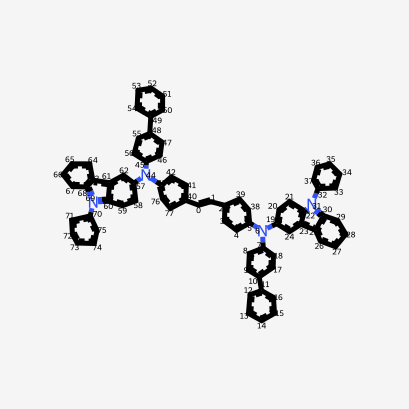 C(=C\c1ccc(N(c2ccc(-c3ccccc3)cc2)c2ccc3c(c2)c2ccccc2n3-c2ccccc2)cc1)/c1ccc(N(c2ccc(-c3ccccc3)cc2)c2ccc3c(c2)c2ccccc2n3-c2ccccc2)cc1